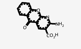 Nc1nc2oc3ccccc3c(=O)c2cc1C(=O)O